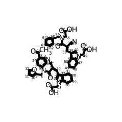 CC(=O)c1ccc(N(Cc2ccco2)C(=O)C(C#N)=Cc2cn(CC(=O)O)c3ccccc23)cc1.N#CC(=Cc1cn(CC(=O)O)c2ccccc12)C(=O)N(CC(=O)O)Cc1ccccc1